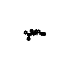 c1ccc(-c2cc(-c3ccccc3)cc(-c3nc4cnc5c(ccc6ccc(-c7ccc8ccccc8c7)nc65)c4c4ccccc34)c2)cc1